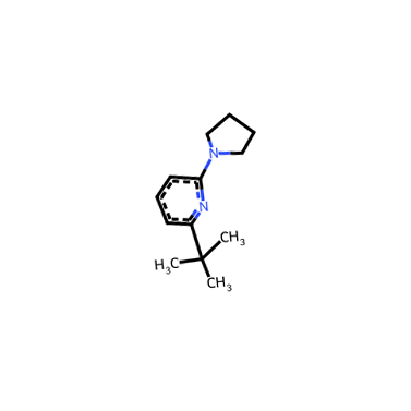 CC(C)(C)c1cccc(N2CCCC2)n1